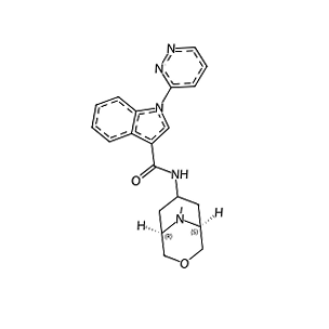 CN1[C@@H]2COC[C@H]1CC(NC(=O)c1cn(-c3cccnn3)c3ccccc13)C2